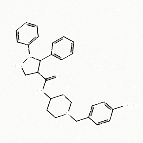 O=C(O)c1ccc(CN2CCC(NC(=O)C3CNN(c4ccccc4)C3c3ccccc3)CC2)cc1